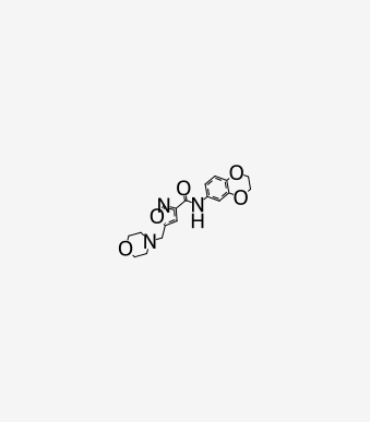 O=C(Nc1ccc2c(c1)OCCO2)c1cc(CN2CCOCC2)on1